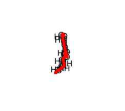 CCCCC(=O)ONCCNC(=O)CCN(CC)CC(=O)NCCNOC(=O)CCCOc1cc([N+](=O)[O-])c(C(C)NC(=O)CCOCCOCCOCCOCCNC(=O)CCNC2C(=O)C=CC2=O)cc1OC